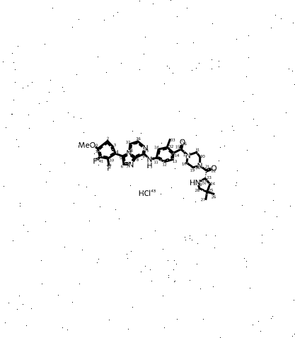 COc1ccc(-c2cnc3c(Nc4ccc(C(=O)N5CCN(C(=O)[C@@H]6CC(C)(C)CN6)CC5)c(C)c4)nccn23)c(F)c1F.Cl